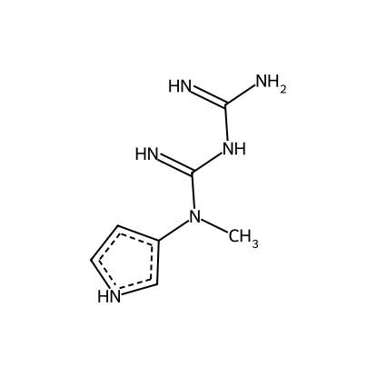 CN(C(=N)NC(=N)N)c1cc[nH]c1